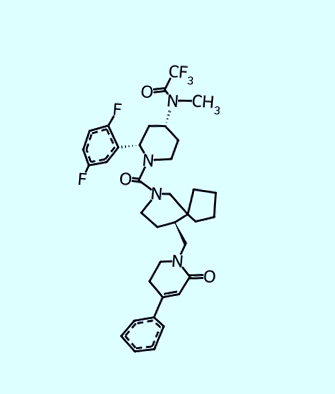 CN(C(=O)C(F)(F)F)[C@@H]1CCN(C(=O)N2CC[C@H](CN3CCC(c4ccccc4)=CC3=O)C3(CCCC3)C2)[C@H](c2cc(F)ccc2F)C1